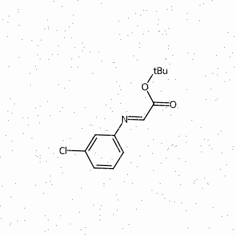 CC(C)(C)OC(=O)C=Nc1cccc(Cl)c1